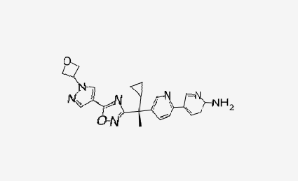 C[C@@](c1ccc(C2=CCC(N)N=C2)nc1)(c1noc(-c2cnn(C3COC3)c2)n1)C1CC1